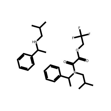 CC(C)CN(C(=O)C(=O)OCC(F)(F)F)C(C)c1ccccc1.CC(C)CNC(C)c1ccccc1